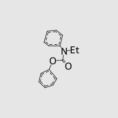 [CH2]CN(C(=O)Oc1ccccc1)c1ccccc1